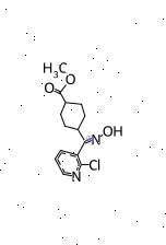 COC(=O)C1CCC(/C(=N\O)c2cccnc2Cl)CC1